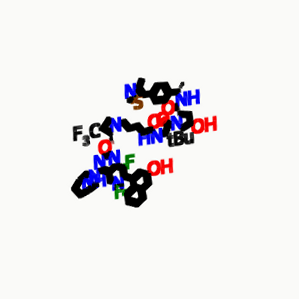 Cc1ncsc1-c1ccc([C@H](C)NC(=O)[C@@H]2C[C@@H](O)CN2C(=O)[C@@H](NC(=O)CCCCN2C[C@@H](C(F)(F)F)[C@H]2COc2nc(N3CC4CCC(C3)N4)c3cnc(-c4cc(O)cc5cccc(F)c45)c(F)c3n2)C(C)(C)C)cc1